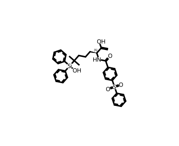 C=C(O)[C@H](CCCC(C)(C)[Si](O)(c1ccccc1)c1ccccc1)NC(=O)c1ccc(S(=O)(=O)c2ccccc2)cc1